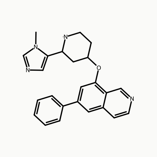 Cn1cncc1C1CC(Oc2cc(-c3ccccc3)cc3ccncc23)CC[N]1